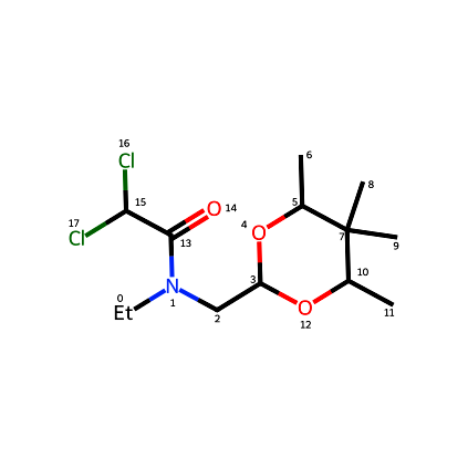 CCN(CC1OC(C)C(C)(C)C(C)O1)C(=O)C(Cl)Cl